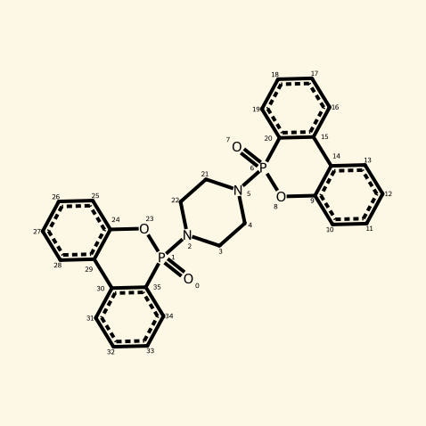 O=P1(N2CCN(P3(=O)Oc4ccccc4-c4ccccc43)CC2)Oc2ccccc2-c2ccccc21